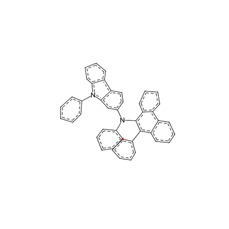 c1ccc(-c2c(N(c3ccccc3)c3ccc4c5ccccc5n(-c5ccccc5)c4c3)c3ccccc3c3ccccc23)cc1